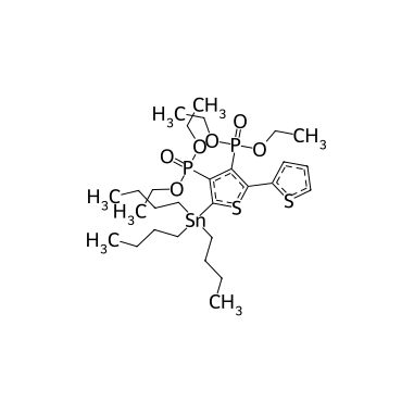 CCC[CH2][Sn]([CH2]CCC)([CH2]CCC)[c]1sc(-c2cccs2)c(P(=O)(OCC)OCC)c1P(=O)(OCC)OCC